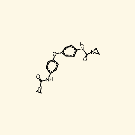 O=C(Nc1ccc(Oc2ccc(NC(=O)N3CC3)cc2)cc1)N1CC1